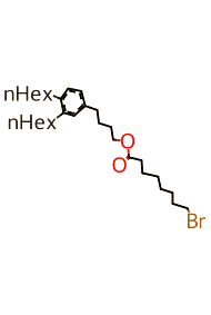 CCCCCCc1ccc(CCCCOC(=O)CCCCCCCBr)cc1CCCCCC